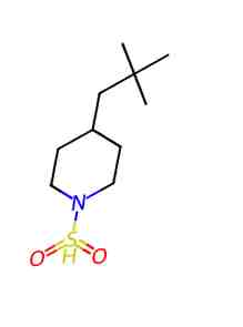 CC(C)(C)CC1CCN([SH](=O)=O)CC1